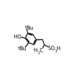 [CH2]C(Cc1cc(C(C)(C)C)c(O)c(C(C)(C)C)c1)S(=O)(=O)O